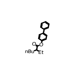 CCCCC(CC)C(=O)Oc1ccc(-c2ccccc2)cc1